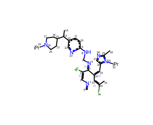 C=N\C=C(F)/C(=N\CNc1ccc(C(C)C2CCN(C(C)C)CC2)cn1)C(=C\c1cnc(C)n1C(C)C)/C=C(\C)F